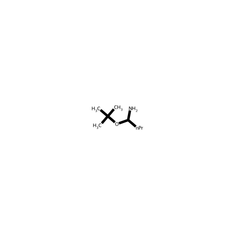 C[CH]CC(N)OC(C)(C)C